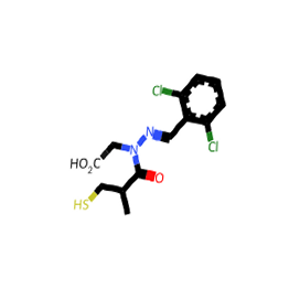 CC(CS)C(=O)N(CC(=O)O)N=Cc1c(Cl)cccc1Cl